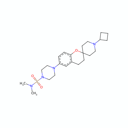 CN(C)S(=O)(=O)N1CCN(c2ccc3c(c2)CCC2(CCN(C4CCC4)CC2)O3)CC1